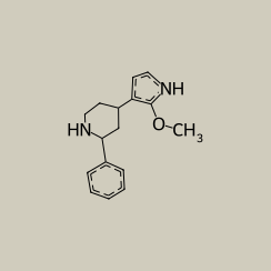 COc1[nH]ccc1C1CCNC(c2ccccc2)C1